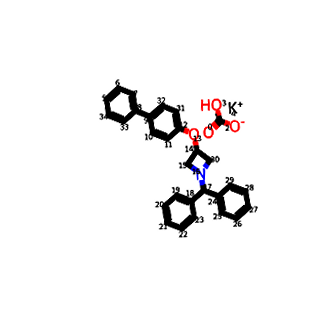 O=C([O-])O.[K+].c1ccc(-c2ccc(OC3CN(C(c4ccccc4)c4ccccc4)C3)cc2)cc1